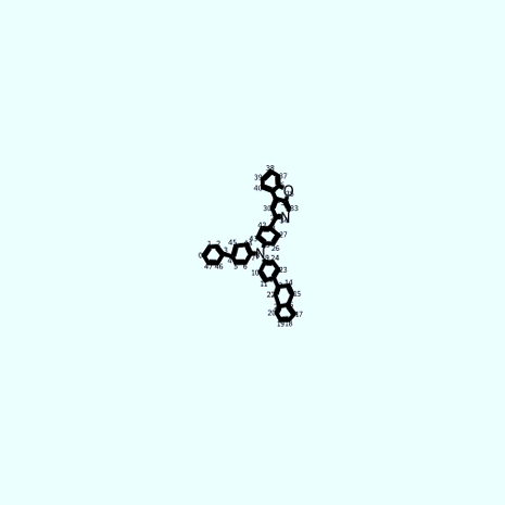 c1ccc(-c2ccc(N(c3ccc(-c4ccc5ccccc5c4)cc3)c3ccc(-c4cc5c(cn4)oc4ccccc45)cc3)cc2)cc1